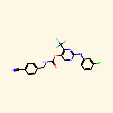 N#Cc1ccc(CNC(=O)Oc2cnc(Nc3cccc(Cl)c3)nc2C(F)(F)F)cc1